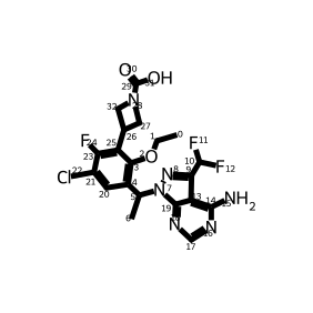 CCOc1c(C(C)n2nc(C(F)F)c3c(N)ncnc32)cc(Cl)c(F)c1C1CN(C(=O)O)C1